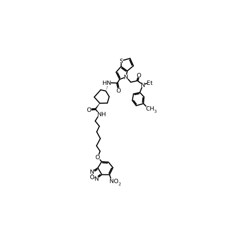 CCN(C(=O)Cn1c(C(=O)N[C@H]2CC[C@H](C(=O)NCCCCCCOc3ccc([N+](=O)[O-])c4nonc34)CC2)cc2sccc21)c1cccc(C)c1